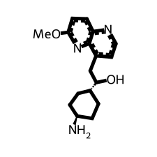 COc1ccc2nccc(CC(O)[C@H]3CC[C@H](N)CC3)c2n1